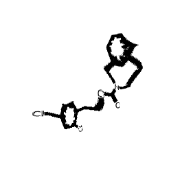 O=C(OCc1ccc(Cl)cc1Cl)N1C=Cc2ccccc2C1